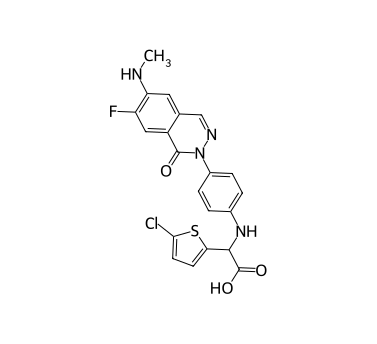 CNc1cc2cnn(-c3ccc(NC(C(=O)O)c4ccc(Cl)s4)cc3)c(=O)c2cc1F